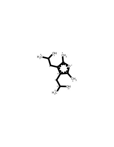 Cc1oc(C)c(CC(C)O)c1CC(C)O